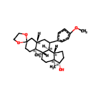 COc1ccc(C2C[C@H]3CC4(CC[C@]3(C)[C@H]3CC[C@]5(C)[C@@H](O)CC[C@H]5[C@H]23)OCCO4)cc1